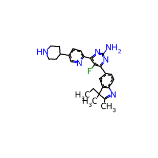 CCC1(C)C(C)=Nc2ccc(-c3nc(N)nc(-c4ccc(C5CCNCC5)cn4)c3F)cc21